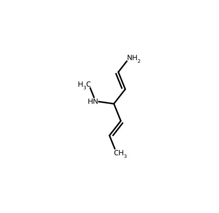 CC=CC(C=CN)NC